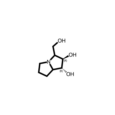 OCC1[C@@H](O)[C@H](O)C2CCCN12